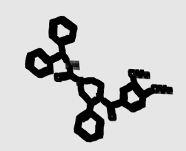 COc1ccc(C(=O)N2CCN(C(=O)NC(c3ccccc3)c3ccccc3)CC2c2ccccc2)cc1OC